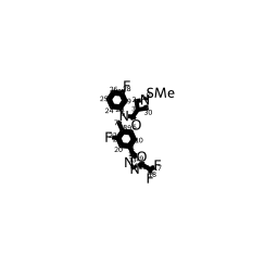 CSN1CC(C(=O)N(Cc2ccc(-c3nnc(C(F)F)o3)cc2F)c2cccc(F)c2)C1